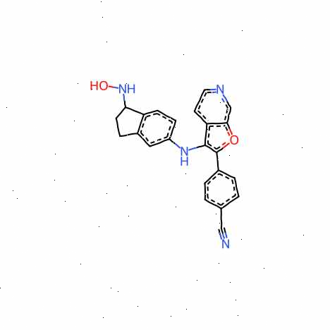 N#Cc1ccc(-c2oc3cnccc3c2Nc2ccc3c(c2)CCC3NO)cc1